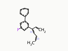 C=C/C(=C\C=C/C)c1cc(I)cc(-c2ccccc2)c1